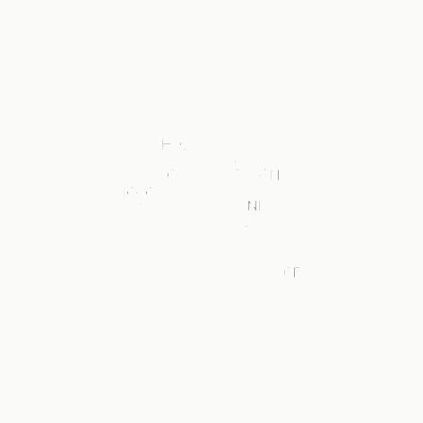 Cc1cc(S[C@H](C)CNSc2ccc(C(F)(F)F)cc2)ccc1OCC(=O)O